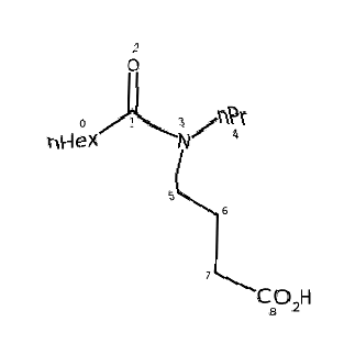 CCCCCCC(=O)N(CCC)CCCC(=O)O